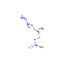 CCCCN(CC)CCN(CCCC)CCNN=N